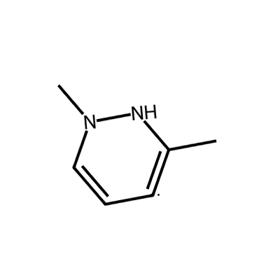 CC1=[C]C=CN(C)N1